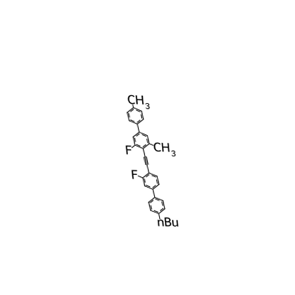 CCCCc1ccc(-c2ccc(C#Cc3c(C)cc(-c4ccc(C)cc4)cc3F)c(F)c2)cc1